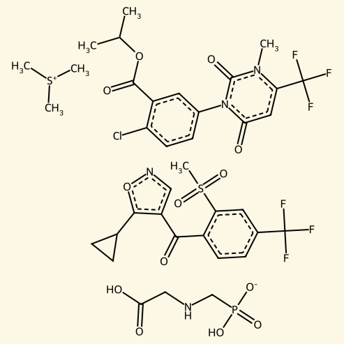 CC(C)OC(=O)c1cc(-n2c(=O)cc(C(F)(F)F)n(C)c2=O)ccc1Cl.CS(=O)(=O)c1cc(C(F)(F)F)ccc1C(=O)c1cnoc1C1CC1.C[S+](C)C.O=C(O)CNCP(=O)([O-])O